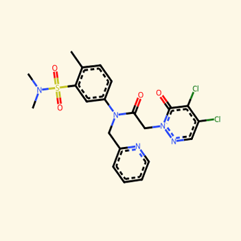 Cc1ccc(N(Cc2ccccn2)C(=O)Cn2ncc(Cl)c(Cl)c2=O)cc1S(=O)(=O)N(C)C